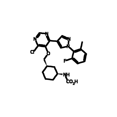 Cc1cccc(F)c1-n1cc(-c2ncnc(Cl)c2OC[C@H]2CCC[C@@H](NC(=O)O)C2)cn1